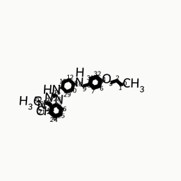 CCCCOc1ccc(CN[C@H]2CC[C@@H](Nc3nc(N(C)C)c4ccccc4n3)CC2)cc1